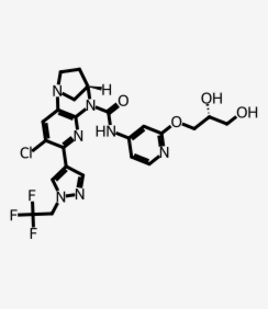 O=C(Nc1ccnc(OC[C@H](O)CO)c1)N1c2nc(-c3cnn(CC(F)(F)F)c3)c(Cl)cc2N2CC[C@H]1C2